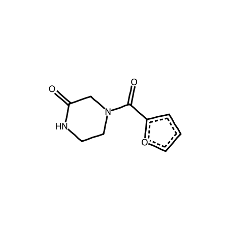 O=C1CN(C(=O)c2ccco2)CCN1